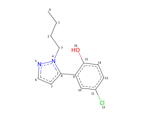 CCCCn1nccc1-c1cc(Cl)ccc1O